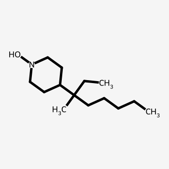 CCCCCC(C)(CC)C1CCN(O)CC1